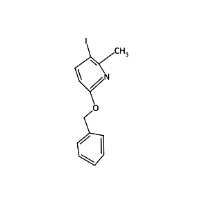 Cc1nc(OCc2ccccc2)ccc1I